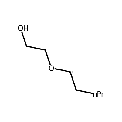 CCCC[CH]OCCO